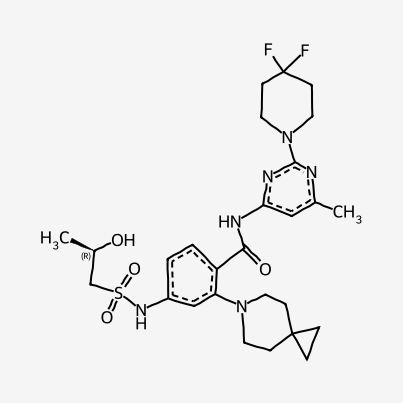 Cc1cc(NC(=O)c2ccc(NS(=O)(=O)C[C@@H](C)O)cc2N2CCC3(CC2)CC3)nc(N2CCC(F)(F)CC2)n1